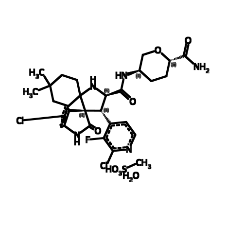 CC1(C)CCC2(CC1)N[C@@H](C(=O)N[C@@H]1CC[C@@H](C(N)=O)OC1)[C@H](c1ccnc(Cl)c1F)[C@]21C(=O)Nc2cc(Cl)ccc21.CS(=O)(=O)O.O